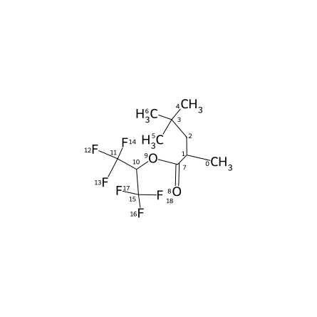 CC(CC(C)(C)C)C(=O)OC(C(F)(F)F)C(F)(F)F